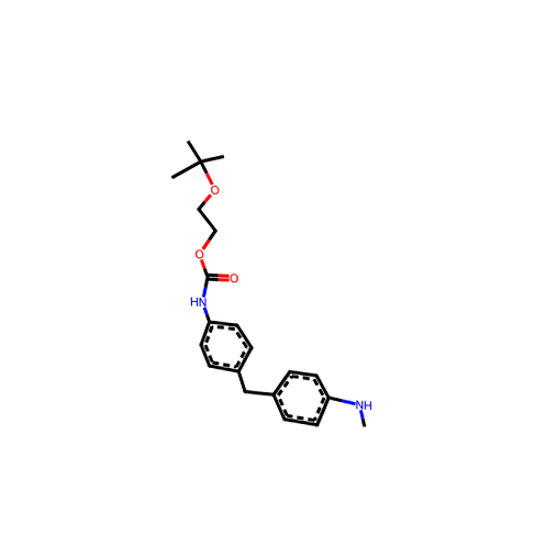 CNc1ccc(Cc2ccc(NC(=O)OCCOC(C)(C)C)cc2)cc1